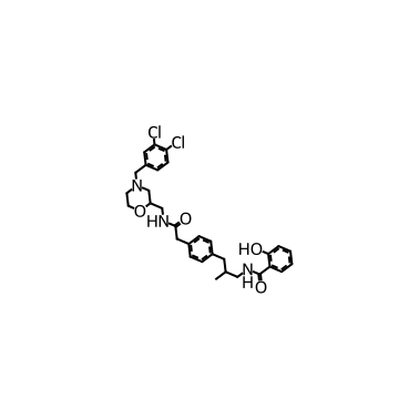 CC(CNC(=O)c1ccccc1O)Cc1ccc(CC(=O)NCC2CN(Cc3ccc(Cl)c(Cl)c3)CCO2)cc1